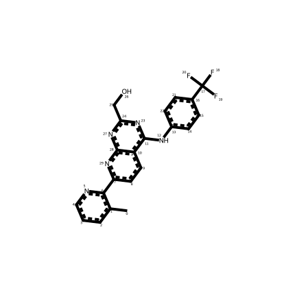 Cc1cccnc1-c1ccc2c(Nc3ccc(C(F)(F)F)cc3)nc(CO)nc2n1